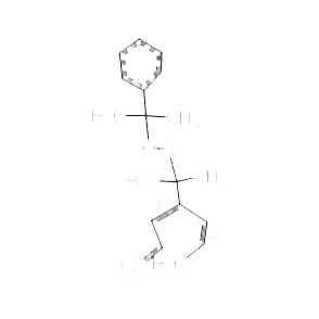 C=C/C=C(\C=C/C)C(C)(C)OOC(C)(C)c1ccccc1